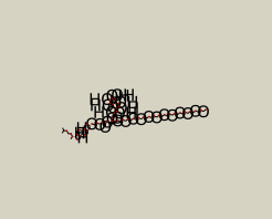 COCCOCCOCCOCCOCCOCCOCCOCCOCCOCCOCCOCC(COC(=O)COCCO[C@H]1CC[C@@]2(C)C(=CC[C@H]3[C@@H]4CC[C@H](C(C)CCCC(C)C)C4CC[C@@H]32)C1)OC(=O)[C@H](O)[C@@H](O)[C@H](OC1OC(CO)C(O)C(O)[C@H]1O)[C@H](O)CO